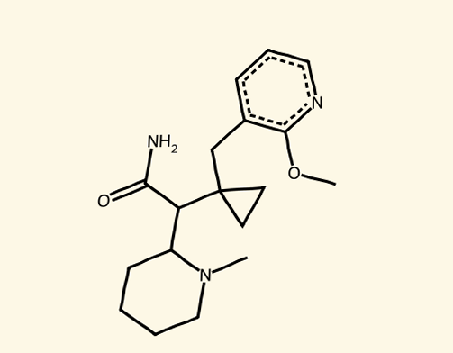 COc1ncccc1CC1(C(C(N)=O)C2CCCCN2C)CC1